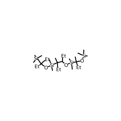 CCC(O[Si](C)(C)C(C)(CC)O[Si](C)(C)C)C(C)(CC)[Si](C)(C)OC(CC)(CC)[Si](C)(C)C